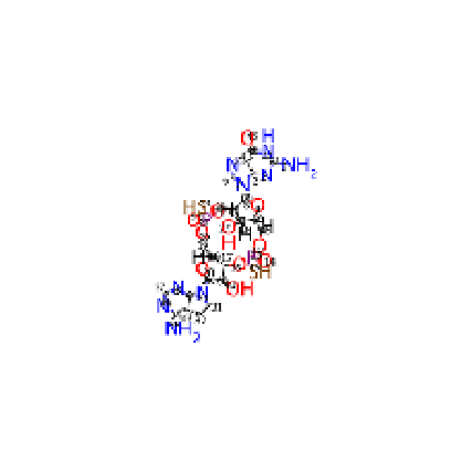 Nc1nc2c(ncn2[C@@H]2O[C@@H]3COP(=O)(S)OC4[C@@H](COP(=O)(S)O[C@H]2[C@H]3O)O[C@@H](n2ccc3c(N)ncnc32)[C@H]4O)c(=O)[nH]1